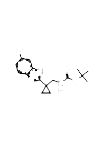 CC(C)(C)OC(=O)NCC1(c2nc3cc(Br)ccc3s2)CC1